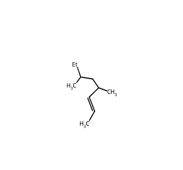 CC=CC(C)CC(C)CC